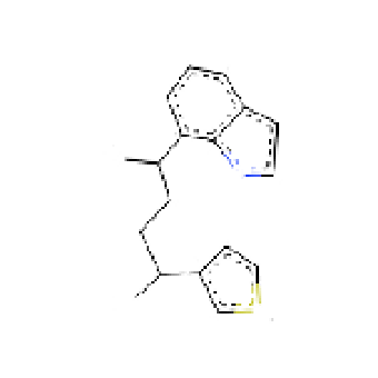 CC(CCC(C)c1cccc2cc[nH]c12)c1ccsc1